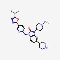 CN1CCC(n2c(=O)n(Cc3ccc(-c4nnc(C(F)F)o4)cn3)c3ccc(C4CCNCC4)cc32)CC1